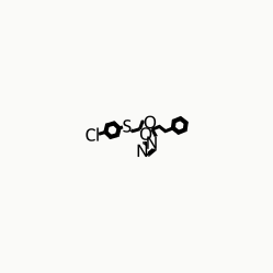 Clc1ccc(SCC2COC(CCc3ccccc3)(Cn3ccnc3)O2)cc1